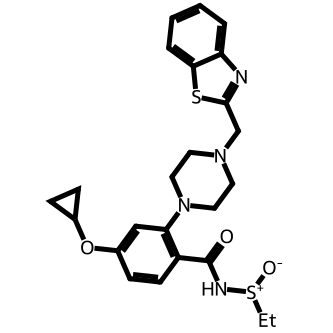 CC[S+]([O-])NC(=O)c1ccc(OC2CC2)cc1N1CCN(Cc2nc3ccccc3s2)CC1